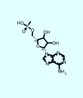 CP(=O)(O)OC[C@H]1O[C@@H](n2cnc3c(N)ncnc32)C(O)C1O